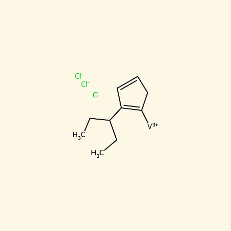 CCC(CC)C1=[C]([V+3])CC=C1.[Cl-].[Cl-].[Cl-]